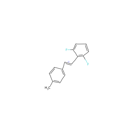 Cc1ccc(/C=C/c2c(F)cccc2F)cc1